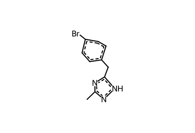 Cc1n[nH]c(Cc2ccc(Br)cc2)n1